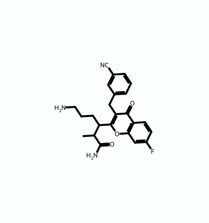 CC(C(N)=O)C(CCCN)c1oc2cc(F)ccc2c(=O)c1Cc1cccc(C#N)c1